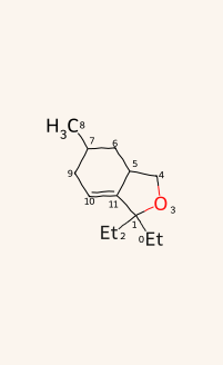 CCC1(CC)OCC2CC(C)CC=C21